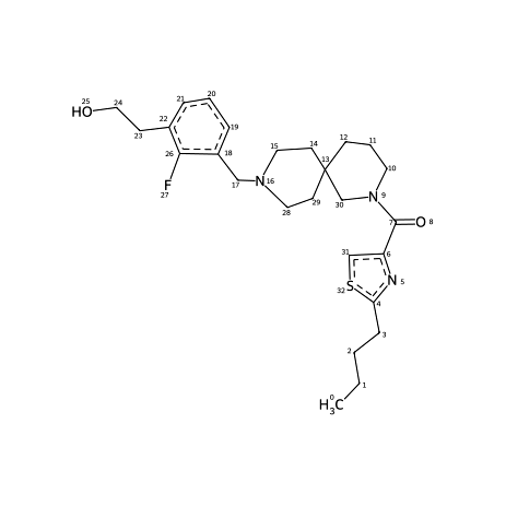 CCCCc1nc(C(=O)N2CCCC3(CCN(Cc4cccc(CCO)c4F)CC3)C2)cs1